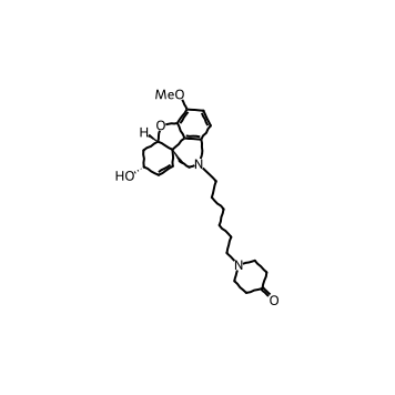 COc1ccc2c3c1O[C@H]1C[C@@H](O)C=C[C@@]31CCN(CCCCCCN1CCC(=O)CC1)C2